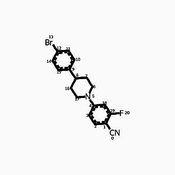 N#Cc1ccc(N2CCC(c3ccc(Br)cc3)CC2)cc1F